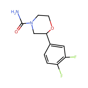 NC(=O)N1CCOC(c2ccc(F)c(F)c2)C1